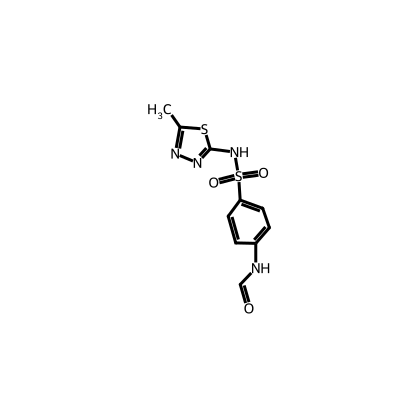 Cc1nnc(NS(=O)(=O)c2ccc(NC=O)cc2)s1